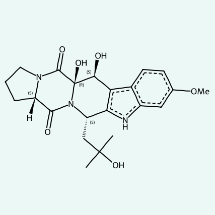 COc1ccc2c3c([nH]c2c1)[C@H](CC(C)(C)O)N1C(=O)[C@@H]2CCCN2C(=O)[C@]1(O)[C@H]3O